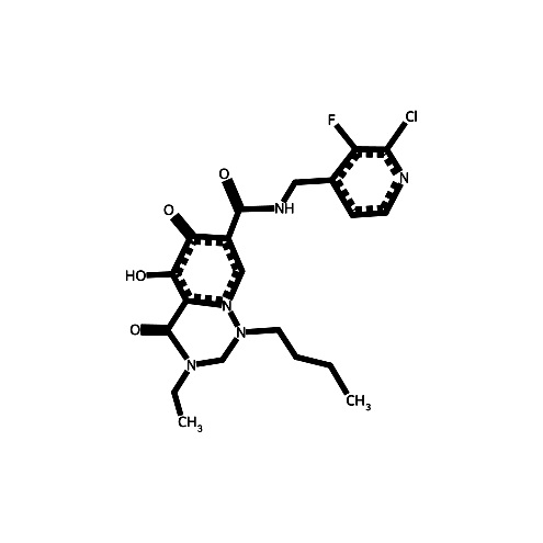 CCCCN1CN(CC)C(=O)c2c(O)c(=O)c(C(=O)NCc3ccnc(Cl)c3F)cn21